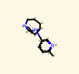 Cc1ccc(N2CCN3CCCC2CC3)cn1